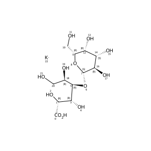 O=C(O)[C@H](O)[C@@H](O)[C@H](O[C@@H]1O[C@H](CO)[C@H](O)[C@H](O)[C@H]1O)[C@H](O)CO.[K]